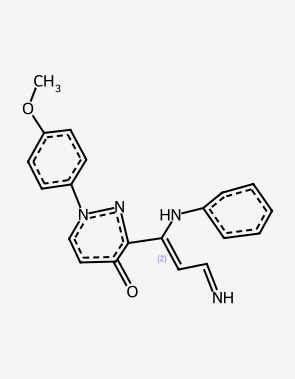 COc1ccc(-n2ccc(=O)c(/C(=C/C=N)Nc3ccccc3)n2)cc1